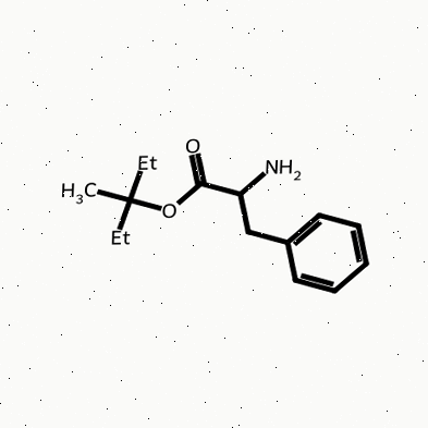 CCC(C)(CC)OC(=O)C(N)Cc1ccccc1